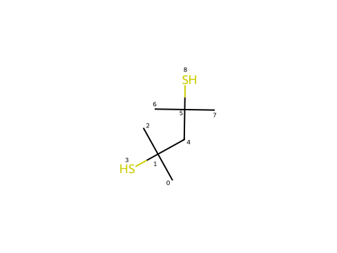 CC(C)(S)CC(C)(C)S